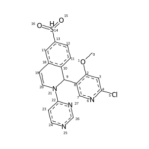 COc1cc(Cl)ncc1C1c2ccc([SH](=O)=O)cc2C=CN1c1ccncn1